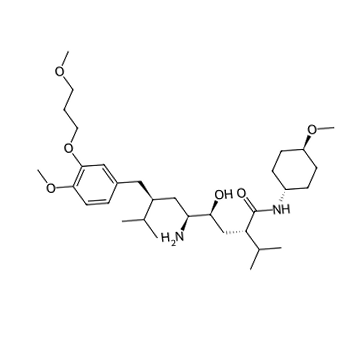 COCCCOc1cc(C[C@@H](C[C@H](N)[C@@H](O)C[C@H](C(=O)N[C@H]2CC[C@H](OC)CC2)C(C)C)C(C)C)ccc1OC